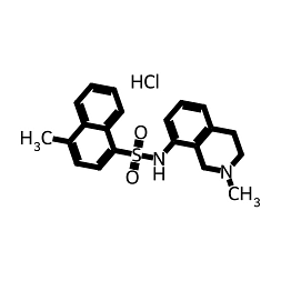 Cc1ccc(S(=O)(=O)Nc2cccc3c2CN(C)CC3)c2ccccc12.Cl